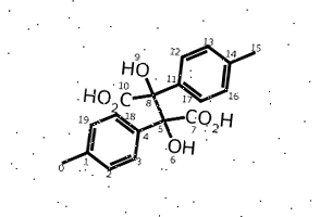 Cc1ccc(C(O)(C(=O)O)C(O)(C(=O)O)c2ccc(C)cc2)cc1